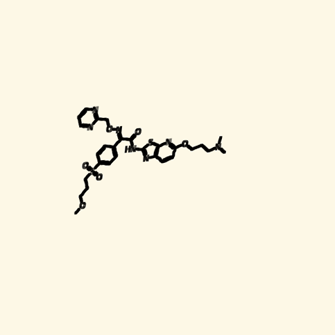 COCCCS(=O)(=O)c1ccc(/C(=N\OCc2ncccn2)C(=O)Nc2nc3ccc(OCCCN(C)C)nc3s2)cc1